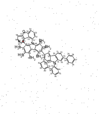 Bc1c(B)c(B)c2c(c1B)c1c(B)c(-c3ccc4c(c3)c3ccc(-c5ccccc5)cc3n4-c3ccccc3-c3ccccc3)c(B)c(B)c1n2-c1cccc2oc3ccccc3c12